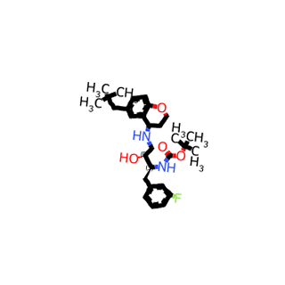 CC(C)(C)Cc1ccc2c(c1)C(NC[C@@H](O)[C@H](Cc1cccc(F)c1)NC(=O)OC(C)(C)C)CCO2